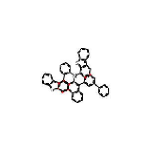 c1ccc(-c2cccc(-c3c(N(c4ccccc4-c4cccc5oc6ccccc6c45)c4cccc5c4sc4ccccc45)c4ccccc4c4ccccc34)c2)cc1